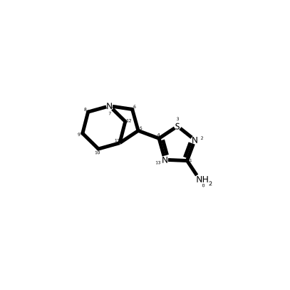 Nc1nsc(C2CN3CCCC2C3)n1